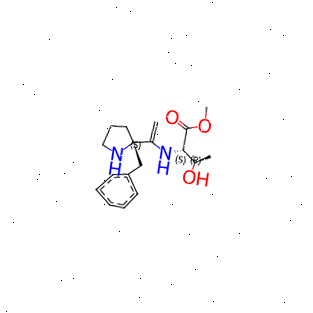 C=C(N[C@H](C(=O)OC)[C@@H](C)O)[C@@]1(Cc2ccccc2)CCCN1